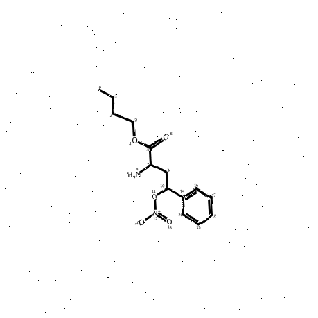 CCCCOC(=O)C(N)CC(O[N+](=O)[O-])c1ccccc1